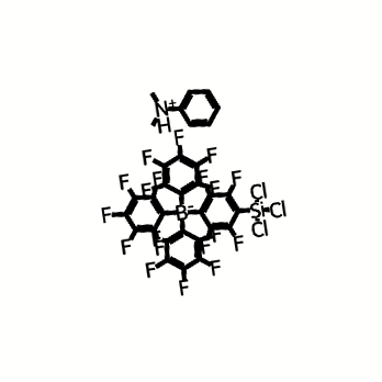 C[NH+](C)c1ccccc1.Fc1c(F)c(F)c([B-](c2c(F)c(F)c(F)c(F)c2F)(c2c(F)c(F)c(F)c(F)c2F)c2c(F)c(F)c([Si](Cl)(Cl)Cl)c(F)c2F)c(F)c1F